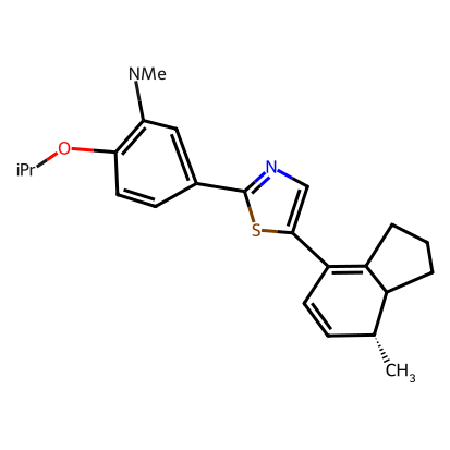 CNc1cc(-c2ncc(C3=C4CCCC4[C@H](C)C=C3)s2)ccc1OC(C)C